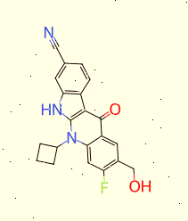 N#Cc1ccc2c(c1)[nH]c1c2c(=O)c2cc(CO)c(F)cc2n1C1CCC1